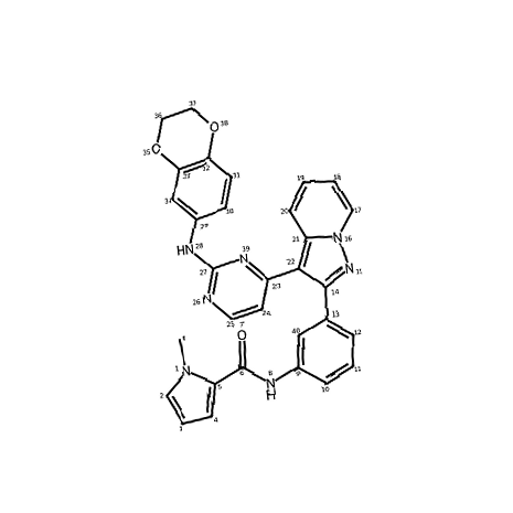 Cn1cccc1C(=O)Nc1cccc(-c2nn3ccccc3c2-c2ccnc(Nc3ccc4c(c3)OCCO4)n2)c1